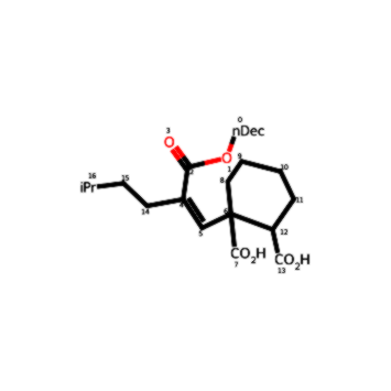 CCCCCCCCCCOC(=O)C(=CC1(C(=O)O)CCCCC1C(=O)O)CCC(C)C